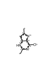 Cc1cc2[nH]c(C)nc(Cl)c-2n1